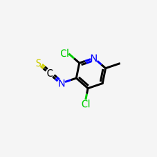 Cc1cc(Cl)c(N=C=S)c(Cl)n1